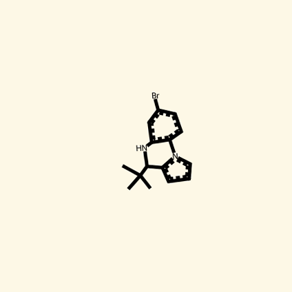 CC(C)(C)C1Nc2cc(Br)ccc2-n2cccc21